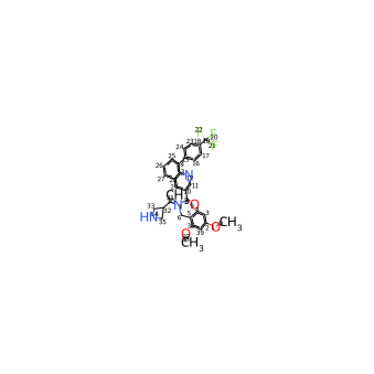 COc1ccc(CN(C(=O)c2cnc3c(-c4ccc(C(F)(F)F)cc4)cccc3c2)[C@@H](C)C2CNC2)c(OC)c1